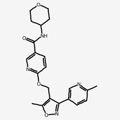 Cc1ccc(-c2noc(C)c2COc2ccc(C(=O)NC3CCOCC3)cn2)cn1